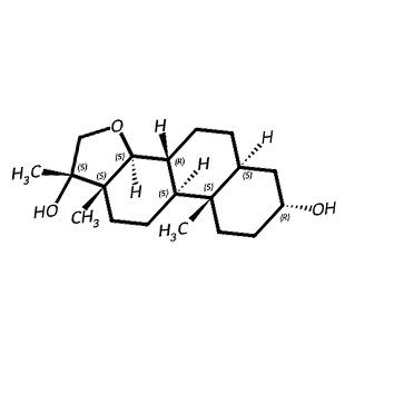 C[C@]12CC[C@@H](O)C[C@@H]1CC[C@@H]1[C@@H]2CC[C@@]2(C)[C@H]1OC[C@@]2(C)O